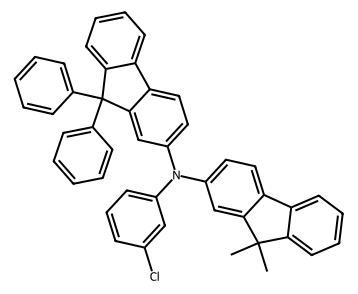 CC1(C)c2ccccc2-c2ccc(N(c3cccc(Cl)c3)c3ccc4c(c3)C(c3ccccc3)(c3ccccc3)c3ccccc3-4)cc21